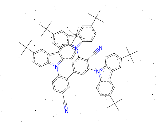 CC(C)(C)c1ccc2c(c1)c1cc(C(C)(C)C)ccc1n2-c1ccc(C#N)cc1-c1cc(-n2c3ccc(C(C)(C)C)cc3c3cc(C(C)(C)C)ccc32)c(C#N)c(-n2c3ccc(C(C)(C)C)cc3c3cc(C(C)(C)C)ccc32)c1